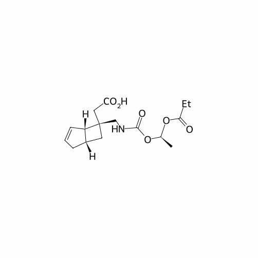 CCC(=O)O[C@@H](C)OC(=O)NC[C@@]1(CC(=O)O)C[C@@H]2CC=C[C@@H]21